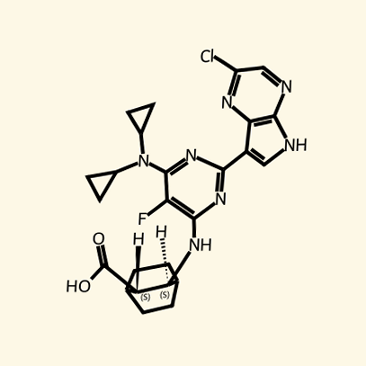 O=C(O)[C@H]1C2CCC(CC2)[C@@H]1Nc1nc(-c2c[nH]c3ncc(Cl)nc23)nc(N(C2CC2)C2CC2)c1F